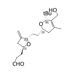 C=C1C[C@H](CCC=O)O[C@H]1CC[C@H]1CC(C)=C(CO)[C@@H](C(C)(C)C)O1